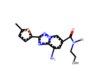 CCN(CCOC)C(=O)c1cc(N)c2nc(-c3ccc(C)s3)nn2c1